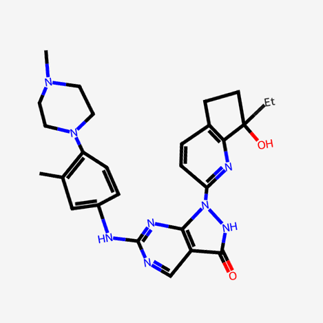 CCC1(O)CCc2ccc(-n3[nH]c(=O)c4cnc(Nc5ccc(N6CCN(C)CC6)c(C)c5)nc43)nc21